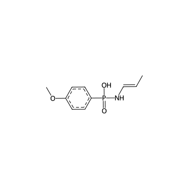 CC=CNP(=O)(O)c1ccc(OC)cc1